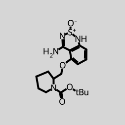 CC(C)(C)OC(=O)N1CCCCC1COc1cccc2c1C(N)=N[S+]([O-])N2